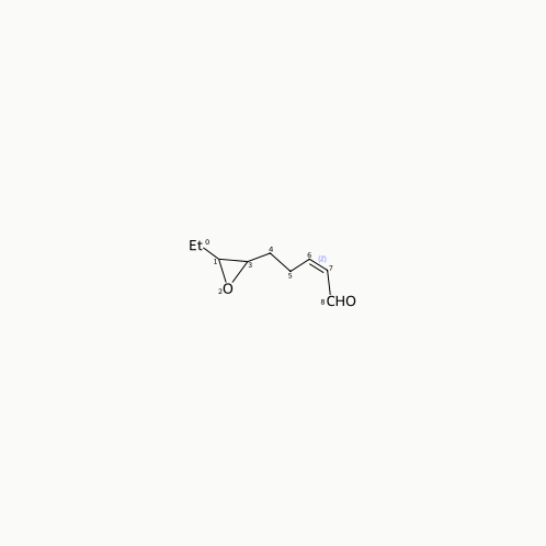 CCC1OC1CC/C=C\C=O